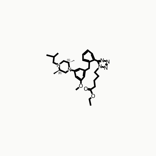 CCOC(=O)CCCCn1nnnc1-c1ccccc1Cc1cc(OC)cc(N2C[C@@H](C)N(CC(C)C)C[C@@H]2C)c1